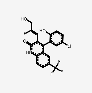 O=c1[nH]c2ccc(C(F)(F)F)cc2c(-c2cc(Cl)ccc2O)c1C=C(F)CO